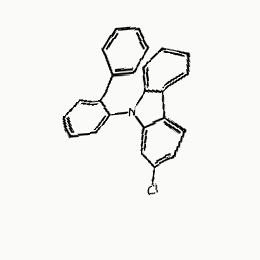 Clc1ccc2c3ccccc3n(-c3ccccc3-c3ccccc3)c2c1